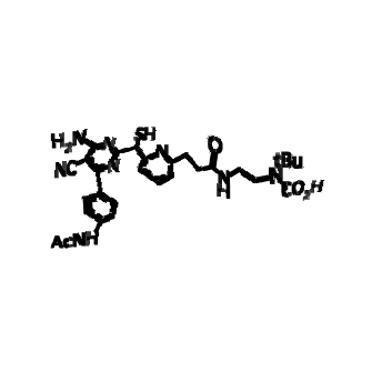 CC(=O)Nc1ccc(-c2nc(C(S)c3cccc(CCC(=O)NCCN(C(=O)O)C(C)(C)C)n3)nc(N)c2C#N)cc1